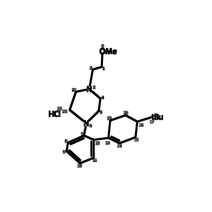 COCCN1CCN(c2ccccc2C2=CCC(C(C)(C)C)CC2)CC1.Cl